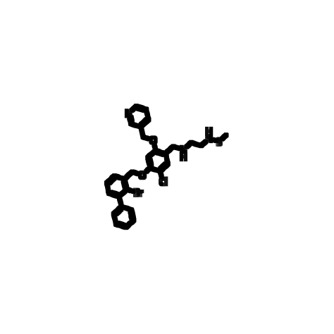 CSNCCNCc1cc(Cl)c(OCc2cccc(-c3ccccc3)c2Br)cc1OCc1cccnc1